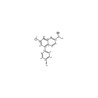 CC(Br)c1ccc2c(-c3ccc(F)cc3)cc(Cl)nc2c1